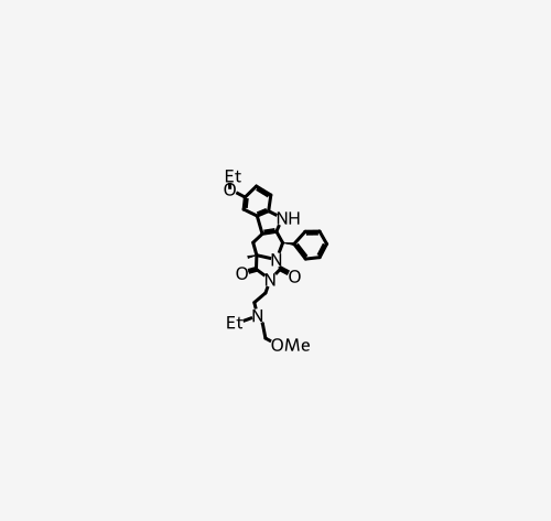 CCOc1ccc2[nH]c3c(c2c1)C[C@@]1(C)C(=O)N(CCN(CC)CCOC)C(=O)N1[C@@H]3c1ccccc1